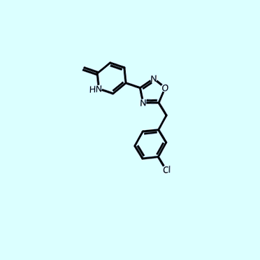 C=C1C=CC(c2noc(Cc3cccc(Cl)c3)n2)=CN1